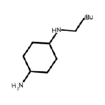 CCC(C)CNC1CCC(N)CC1